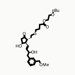 CCCCOCCOC(=O)CCCSCC[C@H]1C(=O)C[C@@H](O)[C@@H]1/C=C/[C@@H](O)Cc1cccc(COC)c1